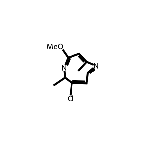 COC1=N\C(C)\C(Cl)=C/C=N/C(C)=C/1